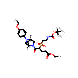 CCOC(=O)CCC(C(=O)N1C[C@@H]2C[C@H]1CN2c1ccc(OCC)cc1)S(=O)(=O)CCNC(=O)OC(C)(C)C